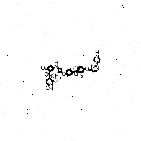 CN(C(=O)c1cc(NC2CC(Oc3ccc(C(C)(C)c4ccc(OCc5ccnc(N6CCNCC6)n5)cc4)cc3)C2)ccc1C=O)C1CCC(=O)NC1=O